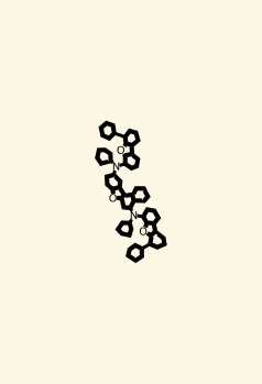 c1ccc(-c2cccc3c2oc2c(N(c4ccccc4)c4ccc5oc6cc(N(c7ccccc7)c7cccc8c7oc7c(-c9ccccc9)cccc78)c7ccccc7c6c5c4)cccc23)cc1